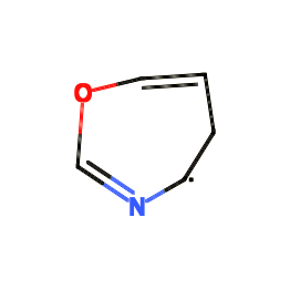 [CH]1CC=COC=N1